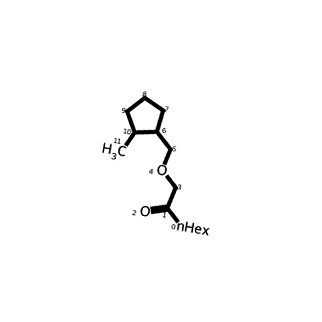 CCCCCCC(=O)COCC1CCCC1C